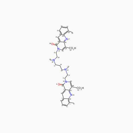 Cc1cccc2cc3c(=O)n(CCN(C)CCCN(C)CCn4cc(C(=O)O)c5nc6c(C)cccc6cc5c4=O)cc(C(=O)O)c3nc12